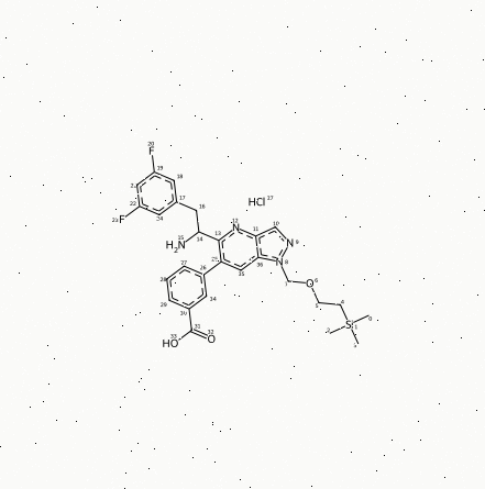 C[Si](C)(C)CCOCn1ncc2nc(C(N)Cc3cc(F)cc(F)c3)c(-c3cccc(C(=O)O)c3)cc21.Cl